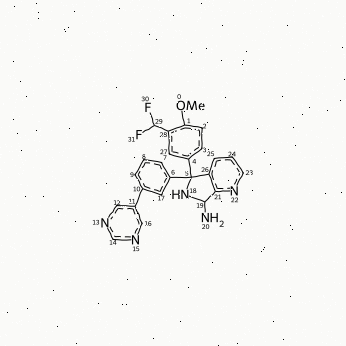 COc1ccc(C2(c3cccc(-c4cncnc4)c3)NC(N)c3ncccc32)cc1C(F)F